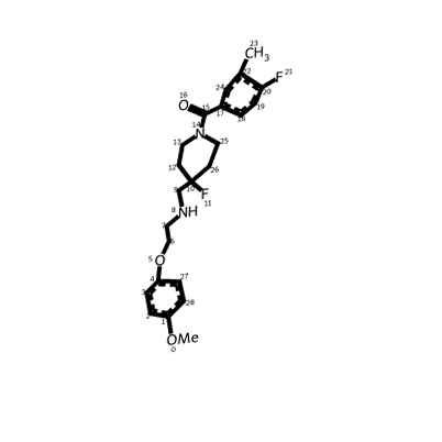 COc1ccc(OCCNCC2(F)CCN(C(=O)c3ccc(F)c(C)c3)CC2)cc1